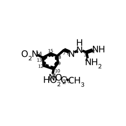 CC(=O)O.N=C(N)NN=Cc1cc([N+](=O)[O-])cc([N+](=O)[O-])c1